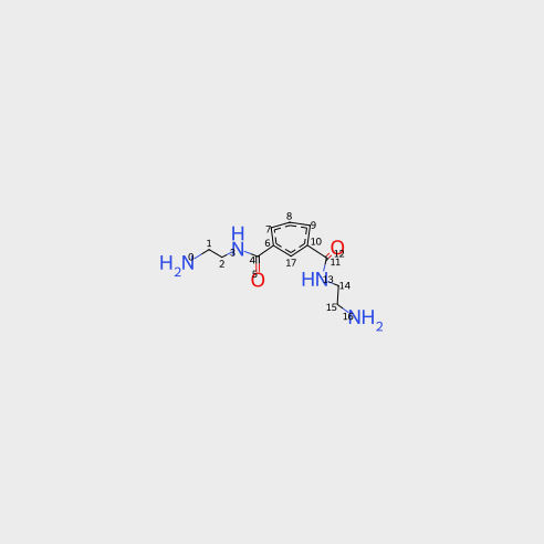 NCCNC(=O)c1cccc(C(=O)NCCN)c1